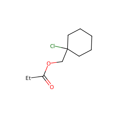 CCC(=O)OCC1(Cl)CCCCC1